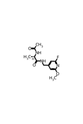 COc1cc(CNC(=O)[C@@H](C)NC(C)=O)cc(F)n1